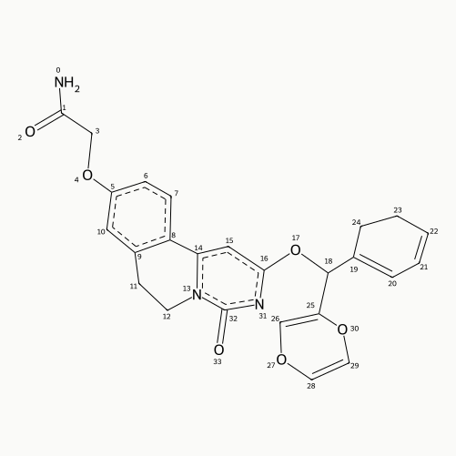 NC(=O)COc1ccc2c(c1)CCn1c-2cc(OC(C2=CC=CCC2)C2=COC=CO2)nc1=O